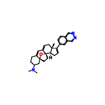 CN(C)C1CCC2=CC3=CC[C@]4(C)C(c5ccc6cnncc6c5)=CC[C@H]4[C@@]34CC[C@]2(C1)O4